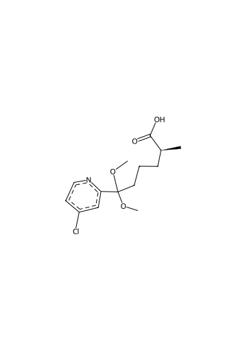 COC(CCC[C@H](C)C(=O)O)(OC)c1cc(Cl)ccn1